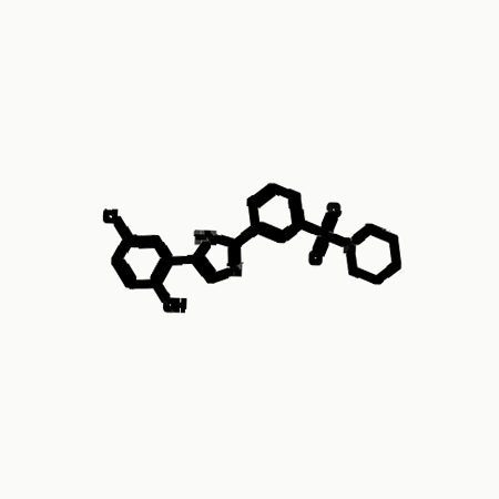 O=S(=O)(c1cccc(-c2ncc(-c3cc(Cl)ccc3O)[nH]2)c1)N1CCCCC1